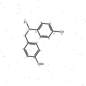 CCN(Cc1ccc(SC)cc1)c1ccc(O)cc1